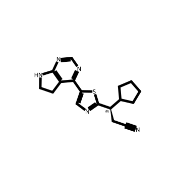 N#CC[C@@H](c1ncc(-c2ncnc3c2CCN3)s1)C1CCCC1